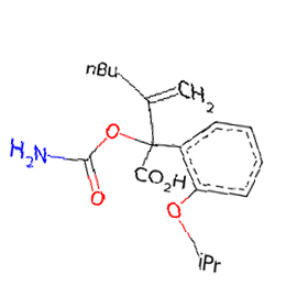 C=C(CCCC)C(OC(N)=O)(C(=O)O)c1ccccc1OC(C)C